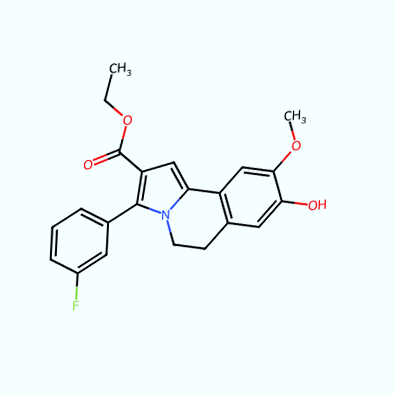 CCOC(=O)c1cc2n(c1-c1cccc(F)c1)CCc1cc(O)c(OC)cc1-2